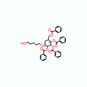 O=C(OCC1C[C@@H](OCCCCCO)C(OC(=O)c2ccccc2)C(OC(=O)c2ccccc2)[C@H]1OC(=O)c1ccccc1)c1ccccc1